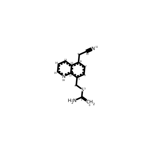 C=C(N)SCc1ccc(CC#N)c2cccnc12